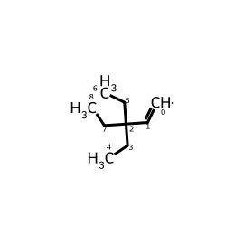 [CH]=CC(CC)(CC)CC